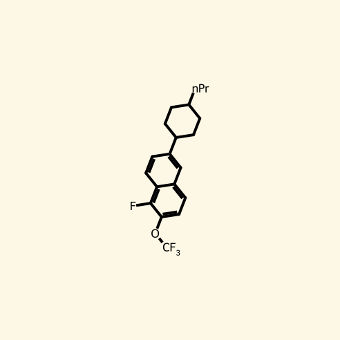 CCCC1CCC(c2ccc3c(F)c(OC(F)(F)F)ccc3c2)CC1